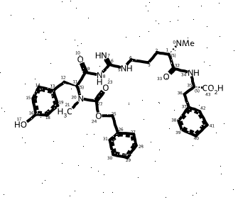 CN[C@@H](CCCNC(=N)NC(=O)[C@H](Cc1ccc(O)cc1)N(C)C(=O)OCc1ccccc1)C(=O)N[C@@H](Cc1ccccc1)C(=O)O